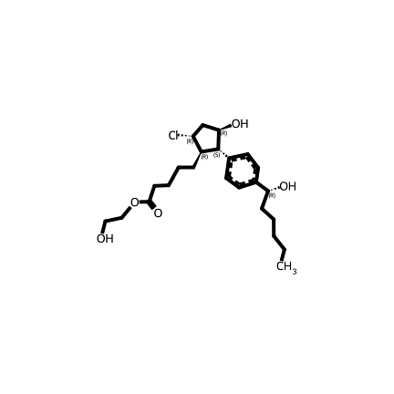 CCCCC[C@@H](O)c1ccc([C@@H]2[C@@H](CCCCC(=O)OCCO)[C@H](Cl)C[C@H]2O)cc1